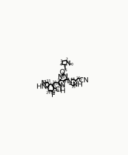 CN1CCCC1COc1nc(N2CCNC(CC#N)C2)c2[nH]cc(Cc3c(Cl)c(F)cc4[nH]ncc34)c2n1